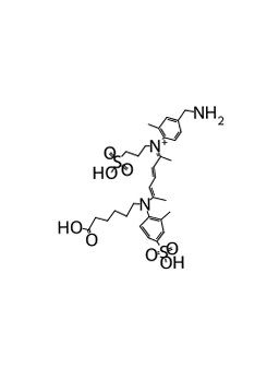 C\C(=C/C=C/C(C)=[N+](\CCCS(=O)(=O)O)c1ccc(CN)cc1C)N(CCCCCC(=O)O)c1ccc(S(=O)(=O)O)cc1C